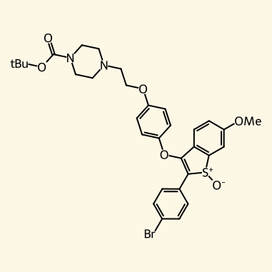 COc1ccc2c(Oc3ccc(OCCN4CCN(C(=O)OC(C)(C)C)CC4)cc3)c(-c3ccc(Br)cc3)[s+]([O-])c2c1